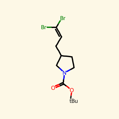 CC(C)(C)OC(=O)N1CCC(CC=C(Br)Br)C1